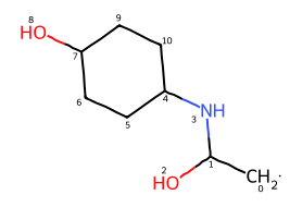 [CH2]C(O)NC1CCC(O)CC1